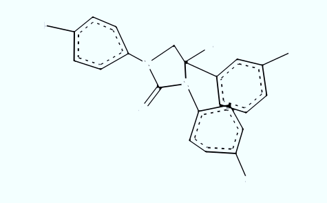 Cc1cccc(C2(O)CN(c3ccc(Cl)cc3)C(=O)N2c2ccc(Cl)cc2)c1